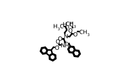 CCOC(CN(CCC(C)C)C(=O)[C@H](Cc1ccc2ccccc2c1)NC(=O)OCC1c2ccccc2-c2ccccc21)OCC